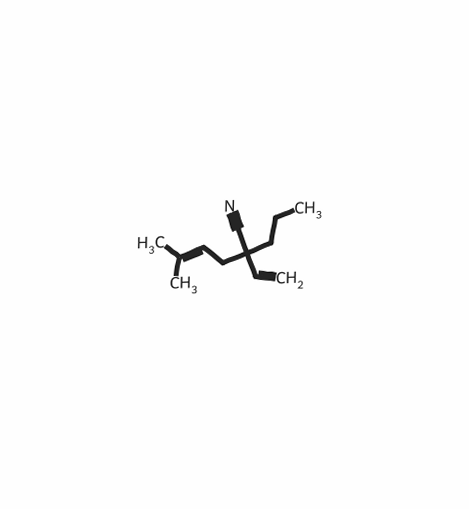 C=CC(C#N)(CC=C(C)C)CCC